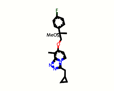 CO[C@@](C)(COc1ccn2c(CC3CC3)nnc2c1C)c1ccc(F)cc1